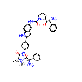 CCCN(C(=O)[C@H](N)c1ccccc1)[C@@H](C)C(=O)Nc1ccc(-c2cc3cc(NC(=O)N4CCCC4C(=O)[C@H](N)c4ccccc4)ccc3[nH]2)cc1